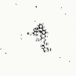 CCCCC(=O)N(CCNC(=O)[C@@H](CS)CC(C)C)Cc1ccc(-c2ccccc2S(=O)(=O)NC(=O)[C@H](C)O)cc1